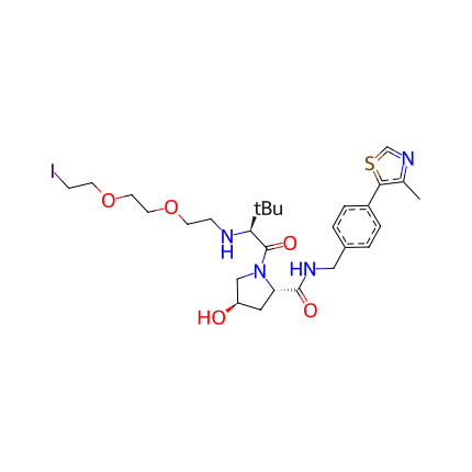 Cc1ncsc1-c1ccc(CNC(=O)[C@@H]2C[C@@H](O)CN2C(=O)[C@@H](NCCOCCOCCI)C(C)(C)C)cc1